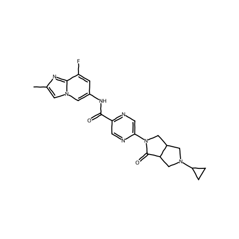 Cc1cn2cc(NC(=O)c3cnc(N4CC5CN(C6CC6)CC5C4=O)cn3)cc(F)c2n1